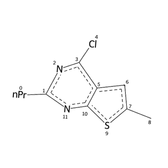 CCCc1nc(Cl)c2cc(C)sc2n1